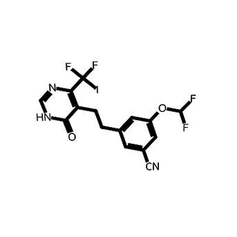 N#Cc1cc(CCc2c(C(F)(F)I)nc[nH]c2=O)cc(OC(F)F)c1